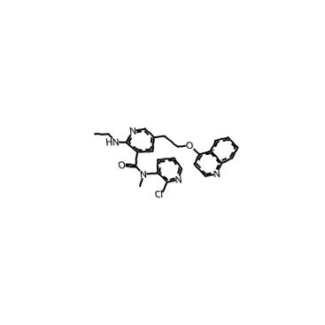 CCNc1ncc(CCOc2ccnc3ccccc23)cc1C(=O)N(C)c1cccnc1Cl